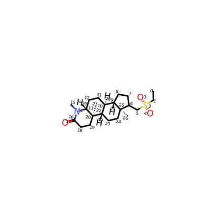 CCS(=O)(=O)CC1CC[C@H]2[C@@H]3CC[C@H]4N(C)C(=O)CC[C@]4(C)[C@H]3CC[C@]12C